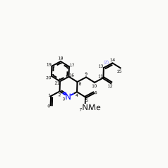 C=CC1=NC(C(=C)NC)C(CCC(=C)/C=C\C)c2ccccc21